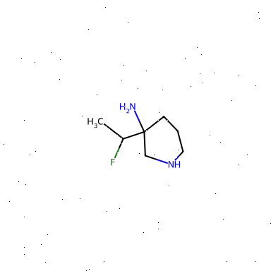 CC(F)C1(N)CCCNC1